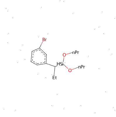 CCCO[SiH](OCCC)C(CC)c1cccc(Br)c1